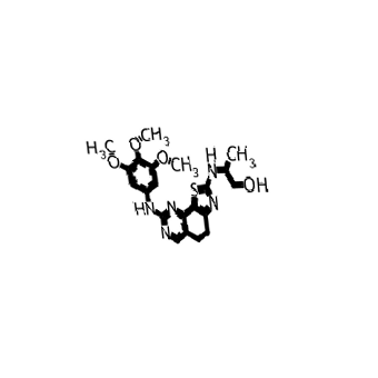 COc1cc(Nc2ncc3c(n2)-c2sc(NC(C)CO)nc2CC3)cc(OC)c1OC